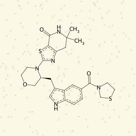 CC1(C)Cc2nc(N3CCOC[C@@H]3Cc3c[nH]c4ccc(C(=O)N5CCSC5)cc34)sc2C(=O)N1